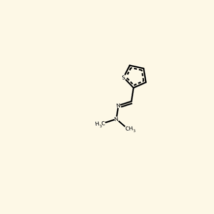 CN(C)N=Cc1cccs1